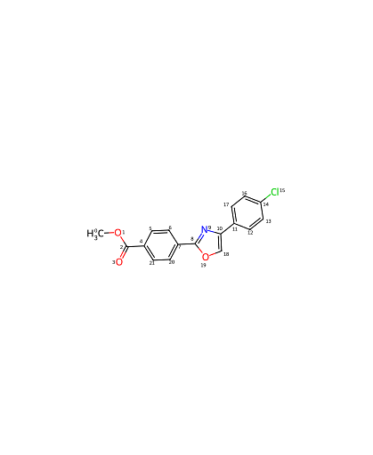 COC(=O)c1ccc(-c2nc(-c3ccc(Cl)cc3)co2)cc1